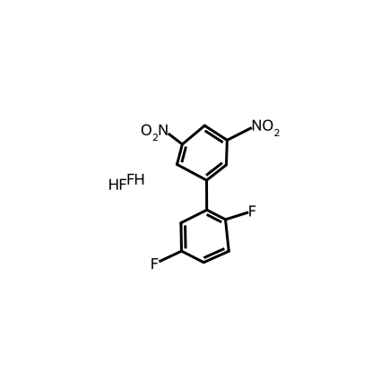 F.F.O=[N+]([O-])c1cc(-c2cc(F)ccc2F)cc([N+](=O)[O-])c1